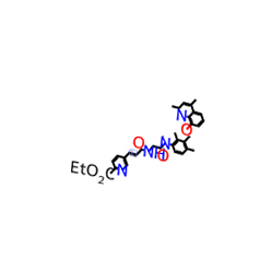 CCOC(=O)c1ccc(/C=C/C(=O)NCC(=O)N(C)c2ccc(C)c(COc3cccc4c(C)cc(C)nc34)c2C)cn1